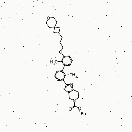 Cc1c(OCCCN2CC3(CCOCC3)C2)cccc1-c1cccc(-c2nc3c(s2)CN(C(=O)OC(C)(C)C)CC3)c1C